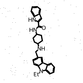 CCn1c2ccccc2c2cc(CNC3CCC(NC(=O)c4cc5ccccc5[nH]4)CC3)ccc21